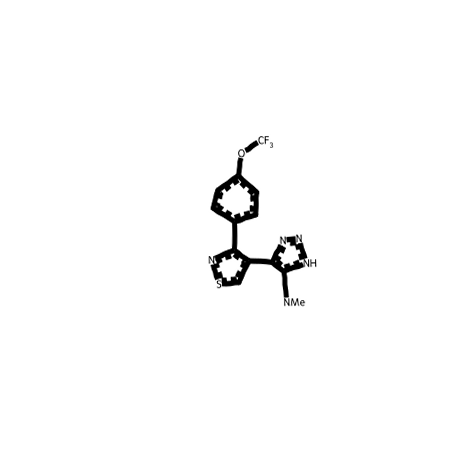 CNc1[nH]nnc1-c1csnc1-c1ccc(OC(F)(F)F)cc1